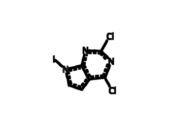 Clc1nc(Cl)c2ccn(I)c2n1